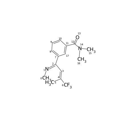 C/N=C(\C=C(/C)C(F)(F)F)c1cccc(C(=O)N(C)C)c1